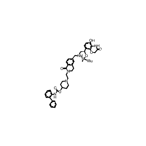 CC(C)(C)[Si](C)(C)O[C@@H](CNCc1ccc2c(c1)CCN(CCN1CCC(OC(=O)Nc3ccccc3-c3ccccc3)CC1)C2=O)c1ccc(O)c2c1OCC(=O)N2